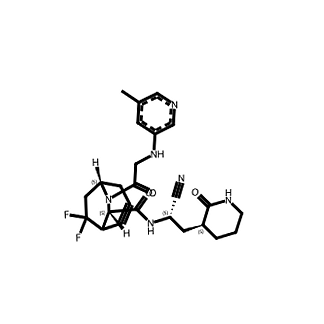 Cc1cncc(NCC(=O)N2[C@H]3CC#CC([C@H]2C(=O)N[C@H](C#N)C[C@@H]2CCCNC2=O)C(F)(F)C3)c1